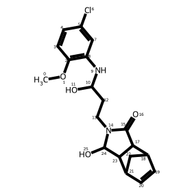 COc1ccc(Cl)cc1NC(O)CCN1C(=O)C2C3C=CC(C3)C2C1O